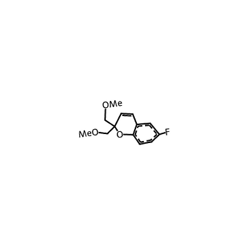 COCC1(COC)C=Cc2cc(F)ccc2O1